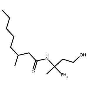 CCCCCC(C)CC(=O)NC(C)(P)CCO